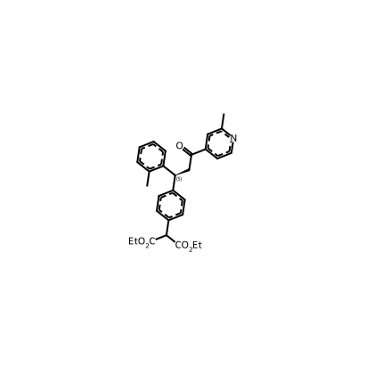 CCOC(=O)C(C(=O)OCC)c1ccc([C@H](CC(=O)c2ccnc(C)c2)c2ccccc2C)cc1